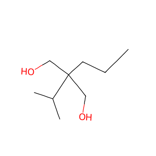 CCCC(CO)(CO)C(C)C